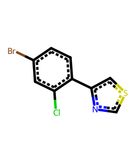 Clc1cc(Br)ccc1-c1cscn1